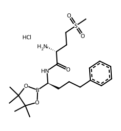 CC1(C)OB([C@H](CCCc2ccccc2)NC(=O)[C@H](N)CCS(C)(=O)=O)OC1(C)C.Cl